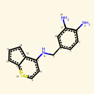 Nc1ccc(CNc2ccsc3cccc2-3)cc1N